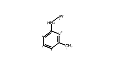 Cc1[c]ccc(NC(C)C)n1